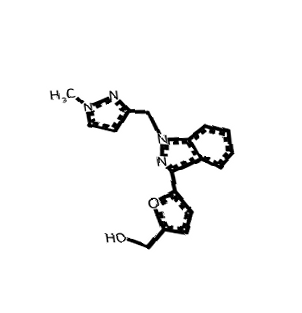 Cn1ccc(Cn2nc(-c3ccc(CO)o3)c3ccccc32)n1